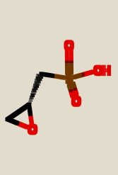 O=S(=O)(O)C[C@H]1CO1